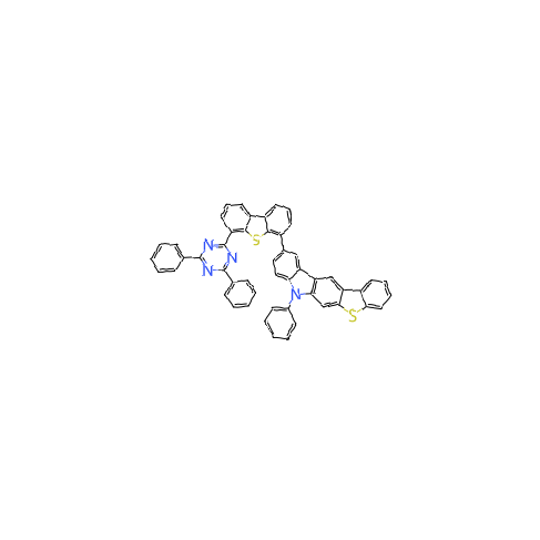 c1ccc(-c2nc(-c3ccccc3)nc(-c3cccc4c3sc3c(-c5ccc6c(c5)c5cc7c(cc5n6-c5ccccc5)sc5ccccc57)cccc34)n2)cc1